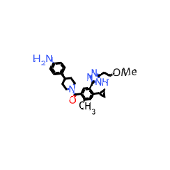 COCCc1nnc(-c2cc(C(=O)N3CCC(c4ccc(N)cc4)CC3)c(C)cc2C2CC2)[nH]1